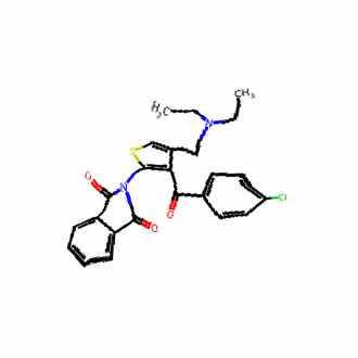 CCN(CC)Cc1csc(N2C(=O)c3ccccc3C2=O)c1C(=O)c1ccc(Cl)cc1